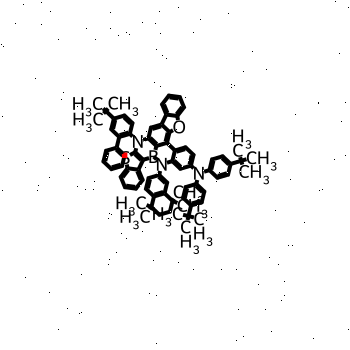 CC(C)(C)c1ccc(N(c2ccc(C(C)(C)C)cc2)c2ccc3c(c2)N(c2ccc4c(c2)C(C)(C)CCC4(C)C)B2c4c(cc5c(oc6ccccc65)c4-3)N(c3ccc(C(C)(C)C)cc3-c3ccccc3)c3sc4ccccc4c32)cc1